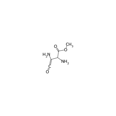 COC(=O)C(N)C(N)=C=O